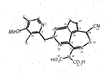 COc1c(C)cnc(CN2N=C3CCC4=C3C(=N2)C(N(C(=O)O)C(=O)O)=NSC4C#N)c1C